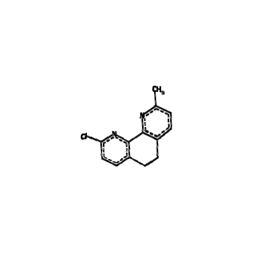 Cc1ccc2c(n1)-c1nc(Cl)ccc1CC2